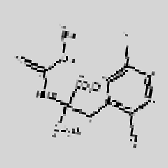 CCOC(=O)C(Cc1cc(I)ccc1Cl)(NC(=O)OC(C)(C)C)C(=O)OCC